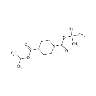 CCC(C)(C)OC(=O)N1CCC(C(=O)OC(C(F)(F)F)C(F)(F)F)CC1